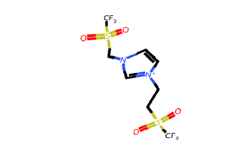 O=S(=O)(CC[n+]1ccn(CS(=O)(=O)C(F)(F)F)c1)C(F)(F)F